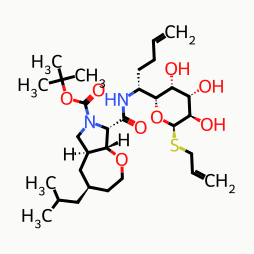 C=CCC[C@@H](NC(=O)[C@@H]1[C@@H]2OCC[C@@H](CC(C)C)C[C@H]2CN1C(=O)OC(C)(C)C)[C@H]1O[C@H](SCC=C)[C@H](O)[C@@H](O)[C@H]1O